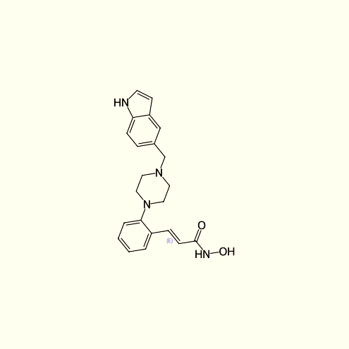 O=C(/C=C/c1ccccc1N1CCN(Cc2ccc3[nH]ccc3c2)CC1)NO